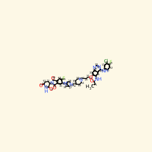 C=CC(=O)Nc1cc2c(Nc3ccc(F)c(Cl)c3)ncnc2cc1OCCCN1CCC(CN2CC3CC2CN3c2cc3c(cc2F)C(=O)N(C2CCC(=O)NC2=O)C3=O)CC1